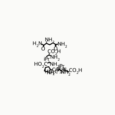 CC(C)[C@H](N)C(=O)O.CC(C)[C@H](N)C(=O)O.C[C@H](N)C(=O)O.NC(=O)CC[C@H](N)C(N)=O.NCC(=O)O.O=C(O)[C@@H]1CCCN1